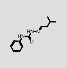 CC(C)C/C=N/NC(=O)Nc1ccccc1